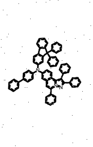 c1ccc(-c2ccc(N(c3ccc4c(c3)C(c3ccccc3)(c3ccccc3)c3ccccc3-4)c3ccc4c(c3)cc(-c3ccccc3)n3nc(-c5ccccc5)c(-c5ccccc5)c43)cc2)cc1